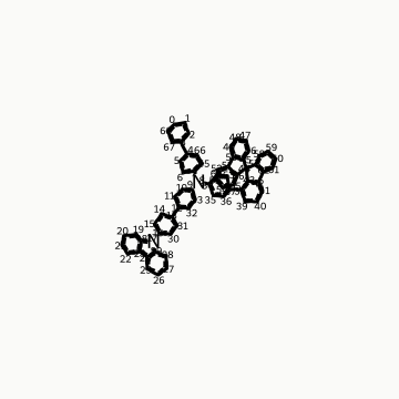 c1ccc(-c2ccc(N(c3ccc(-c4ccc(-n5c6ccccc6c6ccccc65)cc4)cc3)c3ccc(-c4cccc5c4C4(c6ccccc6-c6ccccc64)c4ccccc4-5)cc3)cc2)cc1